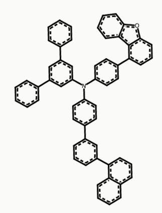 c1ccc(-c2cc(-c3ccccc3)cc(N(c3ccc(-c4cccc(-c5cccc6ccccc56)c4)cc3)c3ccc(-c4cccc5oc6ccccc6c45)cc3)c2)cc1